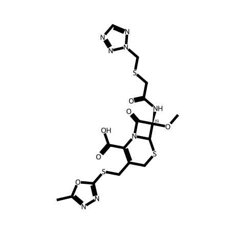 CO[C@@]1(NC(=O)CSCn2ncnn2)C(=O)N2C(C(=O)O)=C(CSc3nnc(C)o3)CSC21